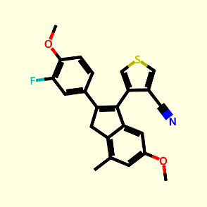 COc1cc(C)c2c(c1)C(c1cscc1C#N)=C(c1ccc(OC)c(F)c1)C2